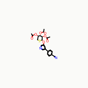 CC(=O)O[C@@H]1[C@@H](OC(C)=O)[C@@H](Oc2cncc(-c3ccc(C#N)cc3)c2)SC[C@H]1OC(C)=O